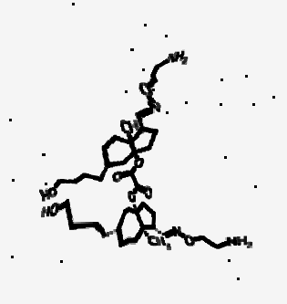 C[C@]12CC[C@H](CCCCO)C[C@@]1(OC(=O)C(=O)O[C@]13CC[C@H](C=NOCCN)[C@@]1(C)CC[C@H](CCCCO)C3)CC[C@@H]2C=NOCCN